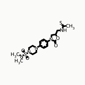 CC(=S)NCC1CN(c2ccc(N3CCN(S(=O)(=O)N(C)C)CC3)cc2)C(=O)O1